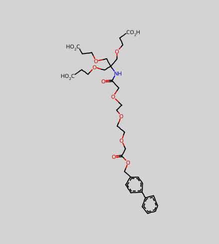 O=C(O)CCOCC(COCCC(=O)O)(COCCC(=O)O)NC(=O)COCCOCCOCC(=O)OCc1ccc(-c2ccccc2)cc1